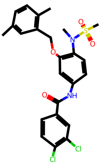 Cc1ccc(C)c(COc2cc(NC(=O)c3ccc(Cl)c(Cl)c3)ccc2N(C)S(C)(=O)=O)c1